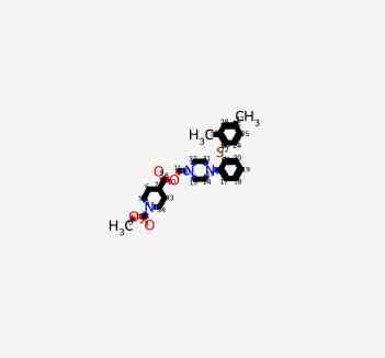 COC(=O)N1CCC(C(=O)OCN2CCN(c3ccccc3Sc3ccc(C)cc3C)CC2)CC1